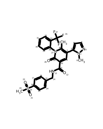 Cc1c(-c2ccnn2C)cc(C(=O)NCc2ccc(S(C)(=O)=O)cc2)c(=O)n1-c1ccccc1C(F)(F)F